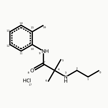 CCCNC(C)(C)C(=O)Nc1ccccc1C.Cl